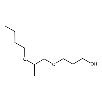 CCCCOC(C)COCCCO